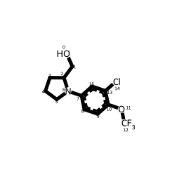 OCC1CCCN1c1ccc(OC(F)(F)F)c(Cl)c1